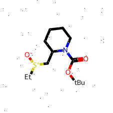 CC[S+]([O-])CC1CCCCN1C(=O)OC(C)(C)C